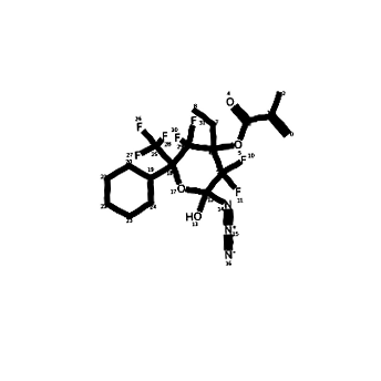 C=C(C)C(=O)OC1(CC)C(F)(F)C(O)(N=[N+]=[N-])OC(C2CCCCC2)(C(F)(F)F)C1(F)F